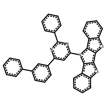 c1ccc(-c2cccc(-c3cc(-n4c5c6ccccc6sc5c5sc6ccccc6c54)nc(-c4ccccc4)n3)c2)cc1